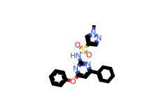 Cn1cc(S(=O)(=O)Nc2nc(Oc3ccccc3)cc(C3=CCCCC3)n2)cn1